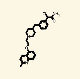 Cc1ccc2c(OCCN3CCC(Cc4cccc(C(Cl)C(N)=O)c4)CC3)cccc2n1